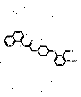 COc1cccc(NC2CCN(CC(=O)Nc3cccc4cccnc34)CC2)c1CO